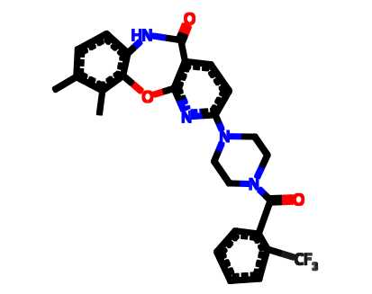 Cc1ccc2c(c1C)Oc1nc(N3CCN(C(=O)c4ccccc4C(F)(F)F)CC3)ccc1C(=O)N2